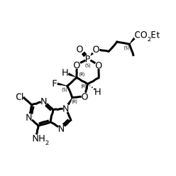 CCOC(=O)[C@@H](C)CCO[P@@]1(=O)OC[C@H]2O[C@@H](n3cnc4c(N)nc(Cl)nc43)[C@@H](F)[C@@H]2O1